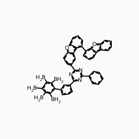 Bc1c(B)c(B)c(-c2cccc(-c3nc(-c4ccccc4)nc(-c4ccc5oc6cccc(-c7cccc8c7oc7ccccc78)c6c5c4)n3)c2)c(B)c1B